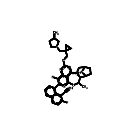 C#Cc1c(F)ccc2cccc(-c3nc4c5c(nc(OCC6(CN7CCC(=C)C7)CC6)nc5c3F)N3CC5CCC(C3C(C)O4)N5C(=O)O)c12